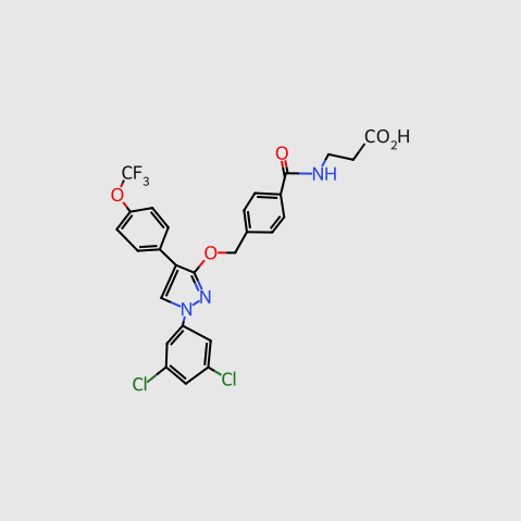 O=C(O)CCNC(=O)c1ccc(COc2nn(-c3cc(Cl)cc(Cl)c3)cc2-c2ccc(OC(F)(F)F)cc2)cc1